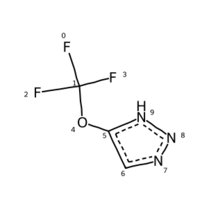 FC(F)(F)Oc1cnn[nH]1